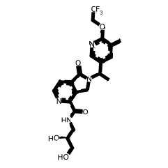 Cc1cc(C(C)N2Cc3c(ccnc3C(=O)NC[C@H](O)CO)C2=O)cnc1OCC(F)(F)F